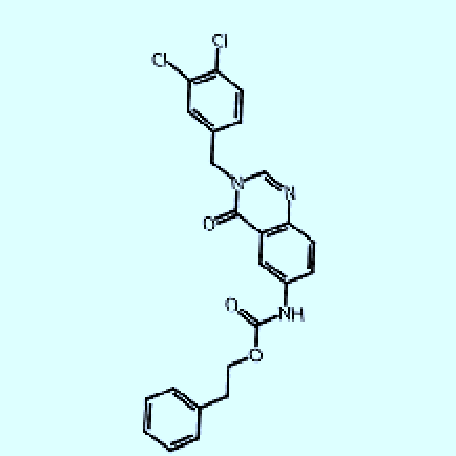 O=C(Nc1ccc2ncn(Cc3ccc(Cl)c(Cl)c3)c(=O)c2c1)OCCc1ccccc1